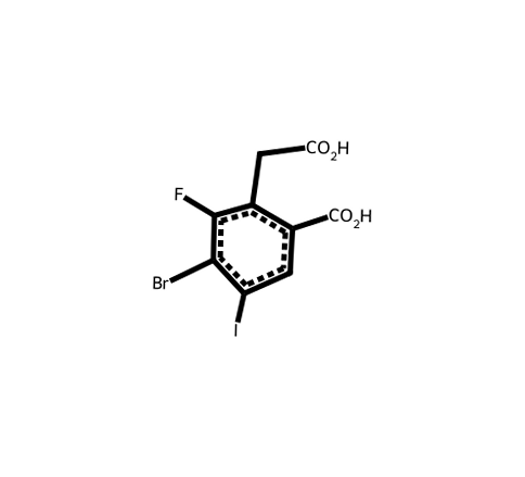 O=C(O)Cc1c(C(=O)O)cc(I)c(Br)c1F